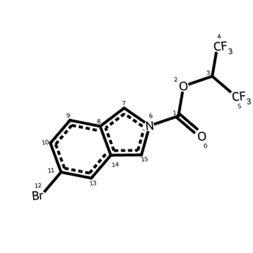 O=C(OC(C(F)(F)F)C(F)(F)F)n1cc2ccc(Br)cc2c1